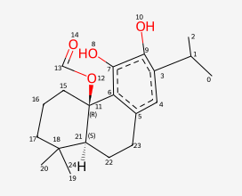 CC(C)c1cc2c(c(O)c1O)[C@@]1(OC=O)CCCC(C)(C)[C@@H]1CC2